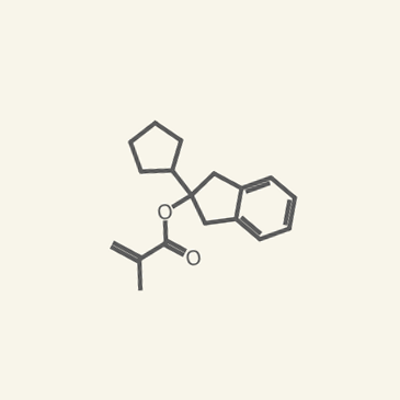 C=C(C)C(=O)OC1(C2CCCC2)Cc2ccccc2C1